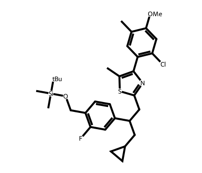 COc1cc(Cl)c(-c2nc(CC(CC3CC3)c3ccc(CO[Si](C)(C)C(C)(C)C)c(F)c3)sc2C)cc1C